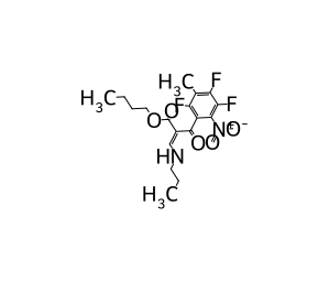 CCCCOC(=O)/C(=C/NCCC)C(=O)c1c(F)c(C)c(F)c(F)c1[N+](=O)[O-]